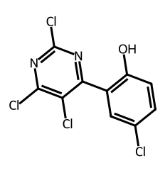 Oc1ccc(Cl)cc1-c1nc(Cl)nc(Cl)c1Cl